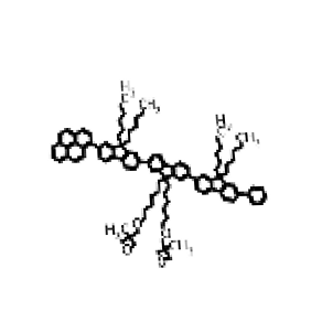 CCCCCCC1(CCCCCC)c2cc(-c3ccccc3)ccc2-c2ccc(-c3ccc4c(c3)C(CCCCCCOCC3(C)COC3)(CCCCCCOCC3(C)COC3)c3cc(-c5ccc6c(c5)C(CCCCCC)(CCCCCC)c5cc(-c7ccc8ccc9cccc%10ccc7c8c9%10)ccc5-6)ccc3-4)cc21